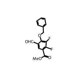 COC(=O)c1cc(C=O)c(OCc2ccccc2)c(F)c1F